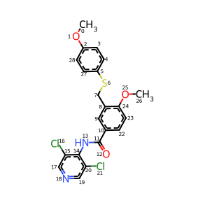 COc1ccc(SCc2cc(C(=O)Nc3c(Cl)cncc3Cl)ccc2OC)cc1